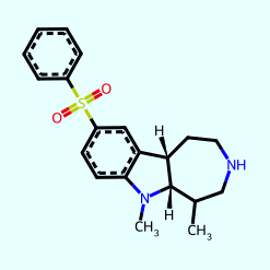 CC1CNCC[C@H]2c3cc(S(=O)(=O)c4ccccc4)ccc3N(C)[C@@H]12